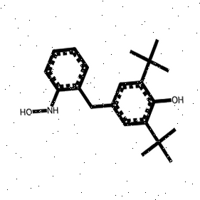 CC(C)(C)c1cc(Cc2ccccc2NO)cc(C(C)(C)C)c1O